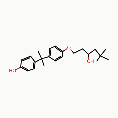 CC(C)(C)CC(O)CCOc1ccc(C(C)(C)c2ccc(O)cc2)cc1